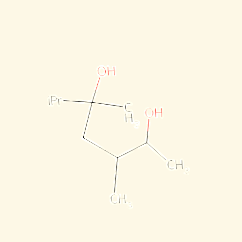 CC(O)C(C)CC(C)(O)C(C)C